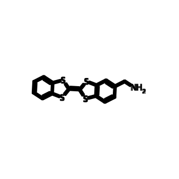 NCc1ccc2c(c1)SC(=C1Sc3ccccc3S1)S2